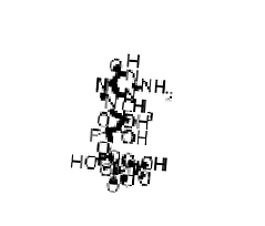 C[C@]1(O)[C@H](n2cnc3c(=O)[nH]c(N)nc32)O[C@](F)(COP(=O)(O)OP(=O)(O)OP(=O)(O)O)[C@H]1O